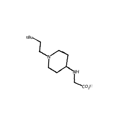 CC(C)(C)CCN1CCC(NCC(=O)O)CC1